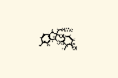 CNCC1(O)Cc2ccc(C)cc2C1Oc1cccc(O)c1C